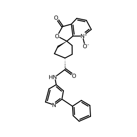 O=C1O[C@]2(CC[C@@H](C(=O)Nc3ccnc(-c4ccccc4)c3)CC2)c2c1ccc[n+]2[O-]